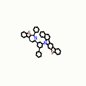 C1=C(c2cc(-c3ccccc3)cc(-n3c4cc5sc6ccccc6c5cc4c4ccc5ccccc5c43)c2)N=C(c2ccccc2)c2sc3ccccc3c2C1